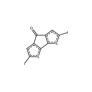 O=C1c2cc(I)sc2-c2sc(I)cc21